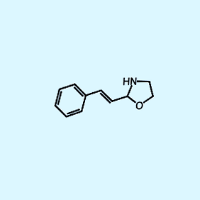 C(=CC1NCCO1)c1ccccc1